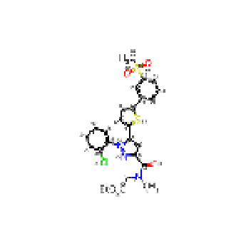 CCOC(=O)CN(C)C(=O)c1cc(-c2ccc(-c3cccc(S(C)(=O)=O)c3)s2)n(-c2ccccc2Cl)n1